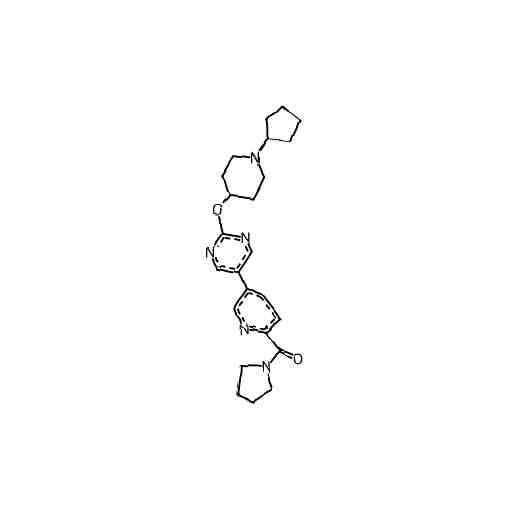 O=C(c1ccc(-c2cnc(OC3CCN(C4CCCC4)CC3)nc2)cn1)N1CCCC1